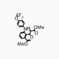 C=C(OC)c1cccc2c1c(=O)c(C(=O)OC)nn2-c1ccc(OC(F)(F)F)cc1